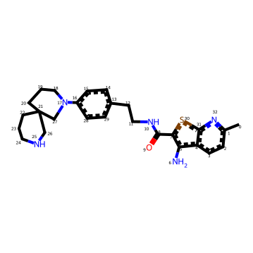 Cc1ccc2c(N)c(C(=O)NCCc3ccc(N4CCCC5(CCCNC5)C4)cc3)sc2n1